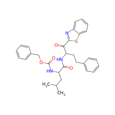 CC(C)CC(NC(=O)OCc1ccccc1)C(=O)NC(CCc1ccccc1)C(=O)c1nc2ccccc2s1